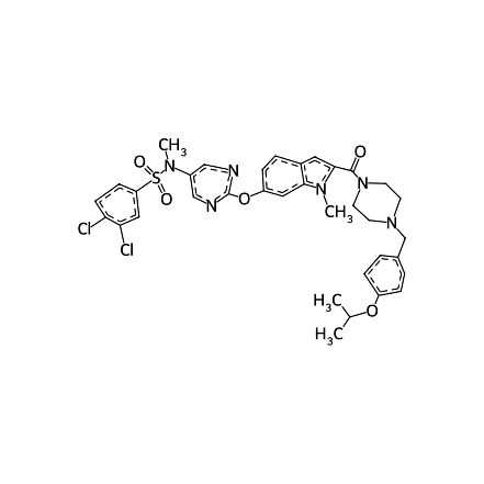 CC(C)Oc1ccc(CN2CCN(C(=O)c3cc4ccc(Oc5ncc(N(C)S(=O)(=O)c6ccc(Cl)c(Cl)c6)cn5)cc4n3C)CC2)cc1